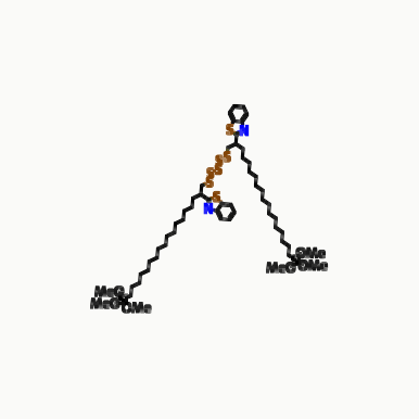 CO[Si](CCCCCCCCCCCCCCCCC(CSSSSSCC(CCCCCCCCCCCCCCCC[Si](OC)(OC)OC)c1nc2ccccc2s1)c1nc2ccccc2s1)(OC)OC